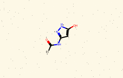 CCC(=O)Nc1cc(O)[nH]n1